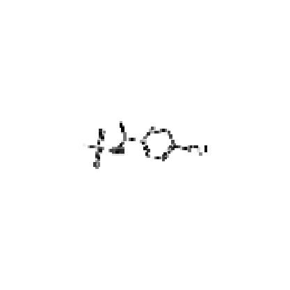 C[C@H](NS(C)(=O)=O)c1ccc(C(=O)O)cc1